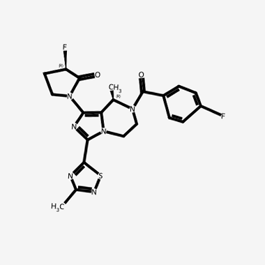 Cc1nsc(-c2nc(N3CC[C@@H](F)C3=O)c3n2CCN(C(=O)c2ccc(F)cc2)[C@@H]3C)n1